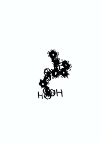 O=C(OCc1cccc(CON(O)O)c1)N1CC[C@H](c2cccc(-c3ccccc3)c2)C(OCC2(Cc3ccccc3)CC2)C1